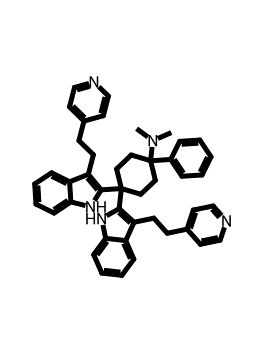 CN(C)C1(c2ccccc2)CCC(c2[nH]c3ccccc3c2CCc2ccncc2)(c2[nH]c3ccccc3c2CCc2ccncc2)CC1